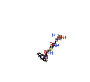 NP(=O)(O)OCCCCCCNC(=O)CCSSCCNC(=O)CCC(=O)N1Cc2ccccc2C#Cc2ccccc21